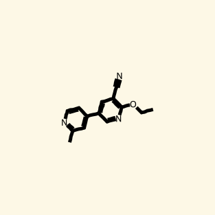 CCOc1ncc(-c2ccnc(C)c2)cc1C#N